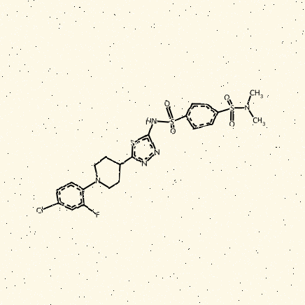 CN(C)S(=O)(=O)c1ccc(S(=O)(=O)Nc2nnc(C3CCN(c4ccc(Cl)cc4F)CC3)s2)cc1